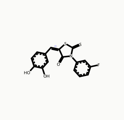 O=C1/C(=C\c2ccc(O)c(O)c2)SC(=S)N1c1cccc(F)c1